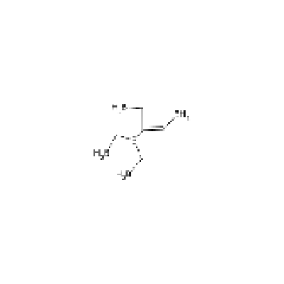 B/C=C(\CB)B(CB)CB